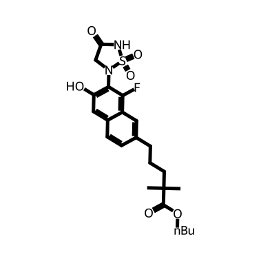 CCCCOC(=O)C(C)(C)CCCc1ccc2cc(O)c(N3CC(=O)NS3(=O)=O)c(F)c2c1